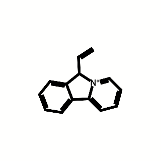 C=CC1c2ccccc2-c2cccc[n+]21